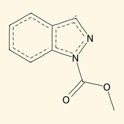 COC(=O)n1n[c]c2ccccc21